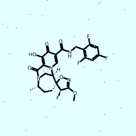 COC1=NO[C@@]2(CC[C@H](C)N3C[C@H]2n2cc(C(=O)NCc4c(F)cc(F)cc4F)c(=O)c(O)c2C3=O)[C@@H]1F